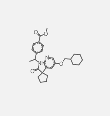 COC(=O)c1ccc(C(C)NC(=O)C2(c3cncc(OCC4CCCCC4)c3)CCCC2)cc1